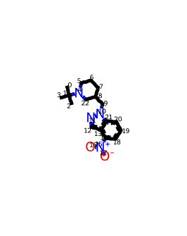 CC(C)(C)N1CCCC(Cn2ncc3c([N+](=O)[O-])cccc32)C1